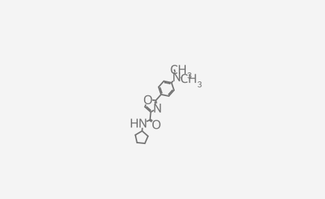 CN(C)c1ccc(-c2nc(C(=O)NC3CCCC3)co2)cc1